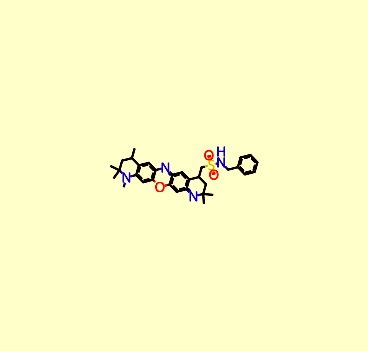 CC1CC(C)(C)N(C)c2cc3c(cc21)N=c1cc2c(cc1O3)=NC(C)(C)CC2CS(=O)(=O)NCc1ccccc1